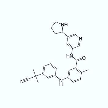 Cc1ccc(Nc2cccc(C(C)(C)C#N)c2)cc1C(=O)Nc1cncc(C2CCCN2)c1